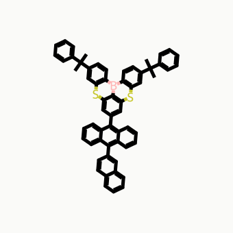 CC(C)(c1ccccc1)c1ccc2c(c1)Sc1cc(-c3c4ccccc4c(-c4ccc5ccccc5c4)c4ccccc34)cc3c1B2c1ccc(C(C)(C)c2ccccc2)cc1S3